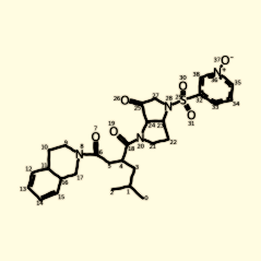 CC(C)CC(CC(=O)N1CCC2C=CC=CC2C1)C(=O)N1CCC2C1C(=O)CN2S(=O)(=O)c1ccc[n+]([O-])c1